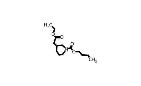 CCCCOC(=O)N1CCCC(CC(=O)OCC)C1